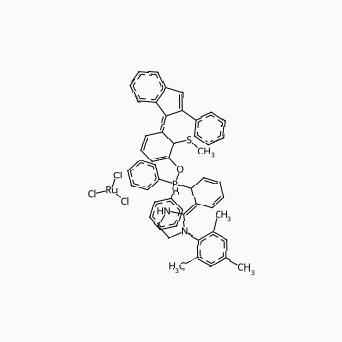 CSC1C(O[PH](c2ccccc2)(c2ccccc2)C2C=CC=CC2=C2NCCN2c2c(C)cc(C)cc2C)=CC=CC1=C1C(c2ccccc2)=Cc2ccccc21.[Cl][Ru]([Cl])[Cl]